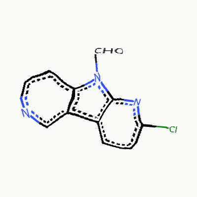 O=Cn1c2ccncc2c2ccc(Cl)nc21